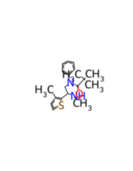 CNC(CN(C(=O)C(C)(C)C)c1ccccc1)c1sccc1C